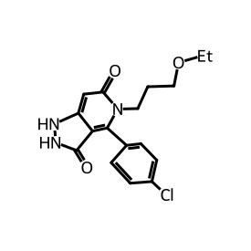 CCOCCCn1c(-c2ccc(Cl)cc2)c2c(=O)[nH][nH]c2cc1=O